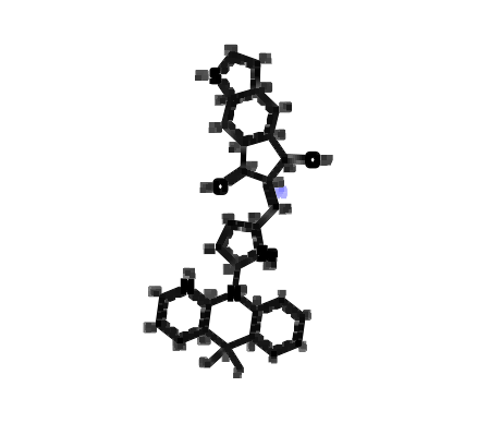 CC1(C)c2ccccc2N(c2ccc(/C=C3/C(=O)c4cc5ccsc5cc4C3=O)[se]2)c2ncccc21